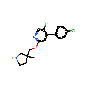 CC1(COc2cc(-c3ccc(Cl)cc3)c(Cl)cn2)CCNC1